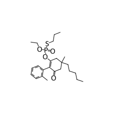 CCCCCC1(C)CC(=O)C(c2ccccc2C)=C(OP(=O)(OCC)SCCC)C1